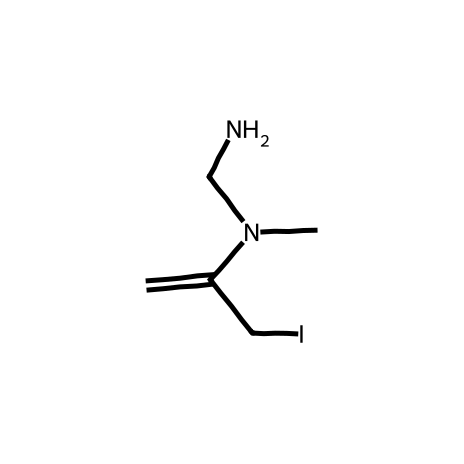 C=C(CI)N(C)CN